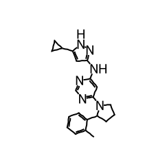 Cc1ccccc1C1CCCN1c1cc(Nc2cc(C3CC3)[nH]n2)ncn1